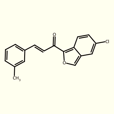 Cc1cccc(C=CC(=O)c2occ3cc(Cl)ccc23)c1